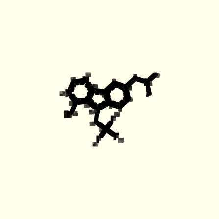 CN(C)Cc1ccc2c(c1)c1ncnc(Br)c1n2CC(F)(F)F